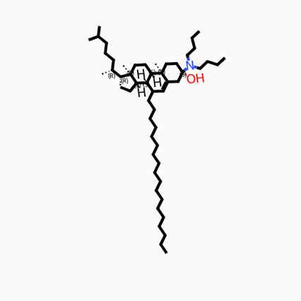 CCCCCCCCCCCCCCCCCCC1C=C2C[C@](O)(N(CCCC)CCCC)CC[C@]2(C)[C@H]2CC[C@]3(C)[C@@H]([C@H](C)CCCC(C)C)CC[C@H]3[C@H]12